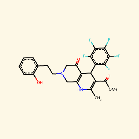 COC(=O)C1=C(C)NC2=C(C(=O)CN(CCc3ccccc3O)C2)C1c1c(F)c(F)c(F)c(F)c1F